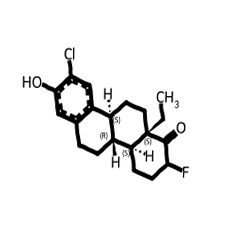 CC[C@]12CC[C@@H]3c4cc(Cl)c(O)cc4CC[C@H]3[C@@H]1CCC(F)C2=O